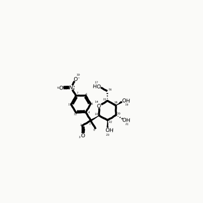 CC(C=O)(c1ccc([N+](=O)[O-])cc1)[C@H]1O[C@H](CO)[C@@H](O)[C@H](O)[C@H]1O